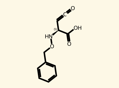 O=C=C[C@H](NOCc1ccccc1)C(=O)O